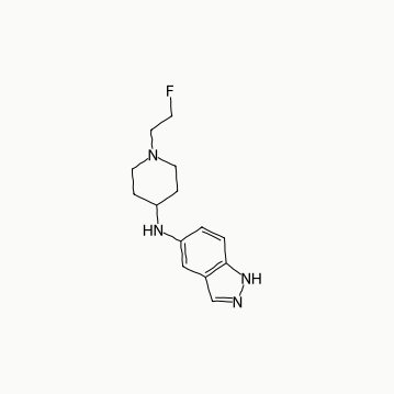 FCCN1CCC(Nc2ccc3[nH]ncc3c2)CC1